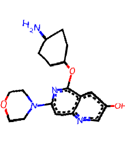 NC1CCC(Oc2nc(N3CCOCC3)cc3ncc(O)cc23)CC1